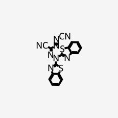 N#CN=NC(C#N)=NN(c1nc2ccccc2s1)c1nc2ccccc2s1